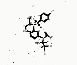 CC(C)(N(C(=O)O)c1ccc2c(c1)N(S(=O)(=O)c1ccc(F)cc1)[C@H](CO)CO2)C(F)(F)F